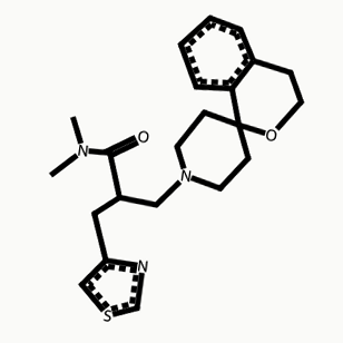 CN(C)C(=O)C(Cc1cscn1)CN1CCC2(CC1)OCCc1ccccc12